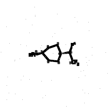 CCC[C@H]1CC[C@H](C(F)C(F)(F)F)CC1